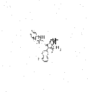 C[C@]12CCC3c4cccc(F)c4CCC3C1[C@H](CCC(=O)Nc1cnccn1)c1c[nH]nc12